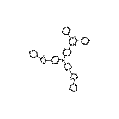 c1ccc(-c2cc(-c3ccc(N(c4ccc(-c5ccc(-c6ccccc6)s5)cc4)c4ccc(-c5ccc(-c6ccccc6)s5)cc4)cc3)nc(-c3ccccc3)n2)cc1